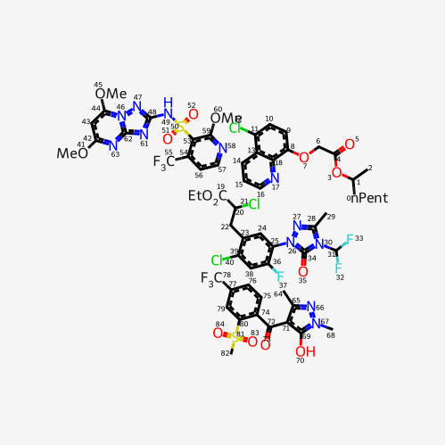 CCCCCC(C)OC(=O)COc1ccc(Cl)c2cccnc12.CCOC(=O)C(Cl)Cc1cc(-n2nc(C)n(C(F)F)c2=O)c(F)cc1Cl.COc1cc(OC)n2nc(NS(=O)(=O)c3c(C(F)(F)F)ccnc3OC)nc2n1.Cc1nn(C)c(O)c1C(=O)c1ccc(C(F)(F)F)cc1S(C)(=O)=O